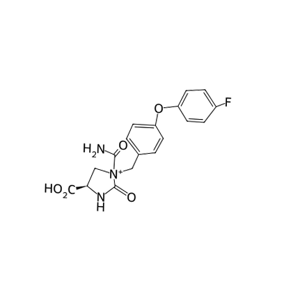 NC(=O)[N+]1(Cc2ccc(Oc3ccc(F)cc3)cc2)C[C@H](C(=O)O)NC1=O